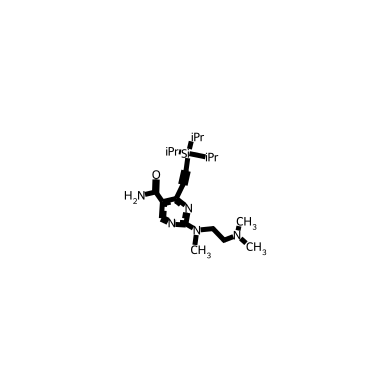 CC(C)[Si](C#Cc1nc(N(C)CCN(C)C)ncc1C(N)=O)(C(C)C)C(C)C